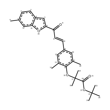 Cc1ccc2cc(C(=O)/C=C/c3cc(C)c(OC(C)(C)C(=O)OC(C)(C)C)c(C)c3)oc2c1